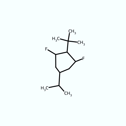 CC(C)C1CC(F)C(C(C)(C)C)C(F)C1